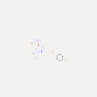 CCCCCCCC(=O)NC(CC(N)=O)C(=O)NC(C)CCC(=O)Oc1ccc(Br)cc1